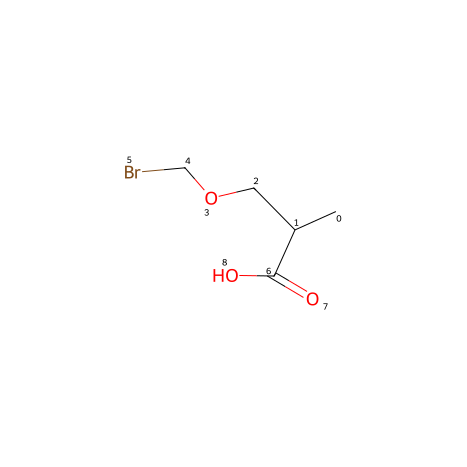 CC(COCBr)C(=O)O